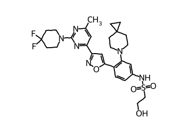 Cc1cc(-c2cc(-c3ccc(NS(=O)(=O)CCO)cc3N3CCC4(CC3)CC4)on2)nc(N2CCC(F)(F)CC2)n1